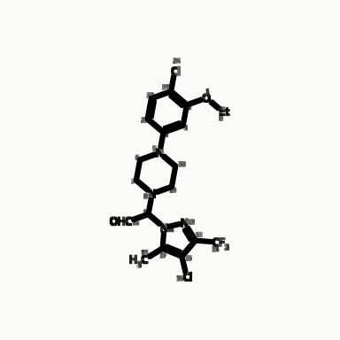 CCOc1cc(N2CCN(C(C=O)n3nc(C(F)(F)F)c(Cl)c3C)CC2)ccc1Cl